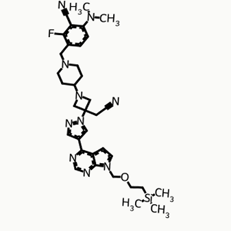 CN(C)c1ccc(CN2CCC(N3CC(CC#N)(n4cc(-c5ncnc6c5ccn6COCC[Si](C)(C)C)cn4)C3)CC2)c(F)c1C#N